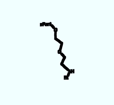 CCCCCOCCOCCNCC